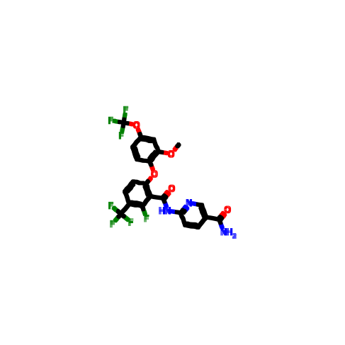 COc1cc(OC(F)(F)F)ccc1Oc1ccc(C(F)(F)F)c(F)c1C(=O)Nc1ccc(C(N)=O)cn1